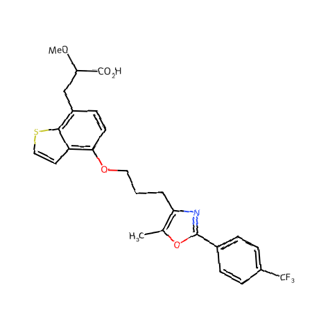 COC(Cc1ccc(OCCCc2nc(-c3ccc(C(F)(F)F)cc3)oc2C)c2ccsc12)C(=O)O